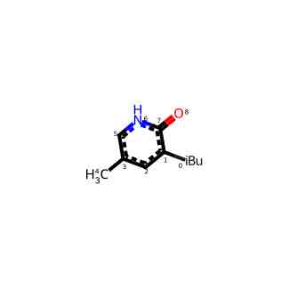 CCC(C)c1cc(C)c[nH]c1=O